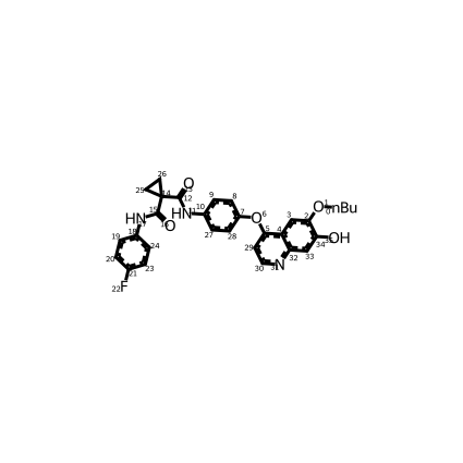 CCCCOc1cc2c(Oc3ccc(NC(=O)C4(C(=O)Nc5ccc(F)cc5)CC4)cc3)ccnc2cc1O